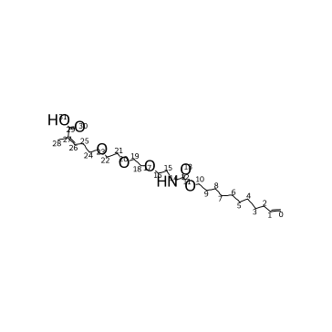 C=CCCCCCCCCCOC(=O)NCCOCCOCCOCCC=C(C)C(=O)O